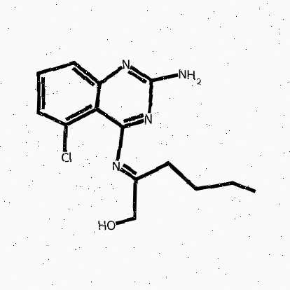 CCCC/C(CO)=N\c1nc(N)nc2cccc(Cl)c12